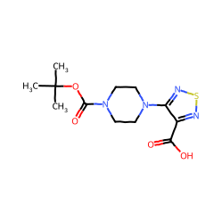 CC(C)(C)OC(=O)N1CCN(c2nsnc2C(=O)O)CC1